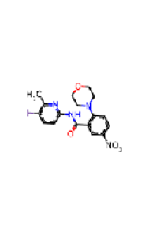 Cc1nc(NC(=O)c2cc([N+](=O)[O-])ccc2N2CCOCC2)ccc1I